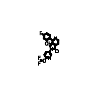 O=C1c2ccnc(-c3ccc(F)cc3O)c2CN1c1ccc(OC(F)F)nc1